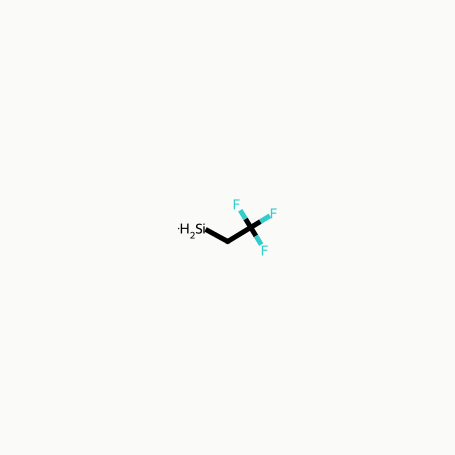 FC(F)(F)C[SiH2]